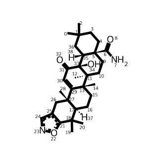 CC1(C)CC[C@]2(C(N)=O)CC[C@@]3(C)[C@]4(C)CC[C@H]5C(C)(C)c6oncc6C[C@]5(C)C4=CC(=O)[C@]3(O)[C@@H]2C1